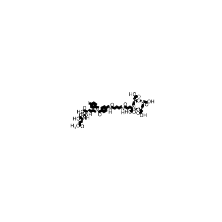 CC(=O)CC[C@@H](NC(=O)N[C@H](CCCCN(Cc1ccc(I)cc1)C(=O)c1ccc(CNC(=O)CCCCNC(=O)CCC(C(=O)O)N2CCN(CC(=O)O)CCN(CC(=O)O)CCN(CC(=O)O)CC2)cc1)C(=O)O)C(=O)O